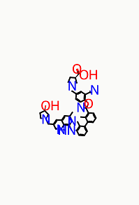 Cc1cc2cc(CN3CC[C@@H](O)C3)cnc2c(Nc2cccc(-c3cccc(-c4nc5cc(CN6CC[C@@H](C(=O)O)C6)cc(C#N)c5o4)c3C)c2C)n1